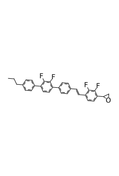 CCCc1ccc(-c2ccc(-c3ccc(/C=C/c4ccc(C5CO5)c(F)c4F)cc3)c(F)c2F)cc1